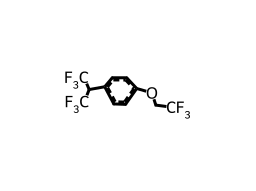 FC(F)(F)COc1ccc(C(C(F)(F)F)C(F)(F)F)cc1